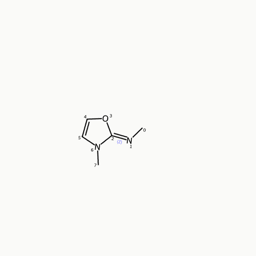 C/N=c1\occn1C